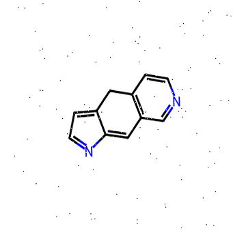 C1=NC2=Cc3cnccc3CC2=C1